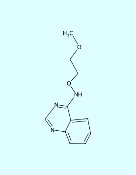 COCCONc1ncnc2ccccc12